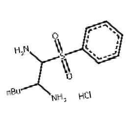 CCCCC(N)C(N)S(=O)(=O)c1ccccc1.Cl